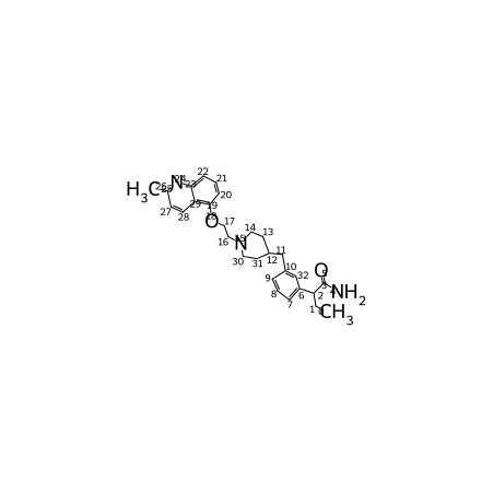 CCC(C(N)=O)c1cccc(CC2CCN(CCOc3cccc4nc(C)ccc34)CC2)c1